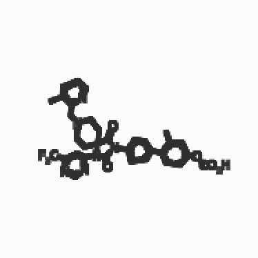 Cc1cc(OC(=O)O)ccc1-c1ccc(N2C(=O)N(c3cc(C(F)(F)F)ncn3)C3(CCN(Cc4ncccc4C)CC3)C2=O)cc1